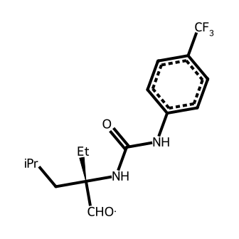 CC[C@@]([C]=O)(CC(C)C)NC(=O)Nc1ccc(C(F)(F)F)cc1